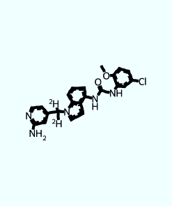 [2H]C([2H])(c1ccnc(N)c1)n1ccc2c(NC(=O)Nc3cc(Cl)ccc3OC)cccc21